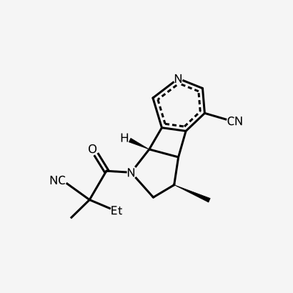 CCC(C)(C#N)C(=O)N1C[C@H](C)C2c3c(C#N)cncc3[C@H]21